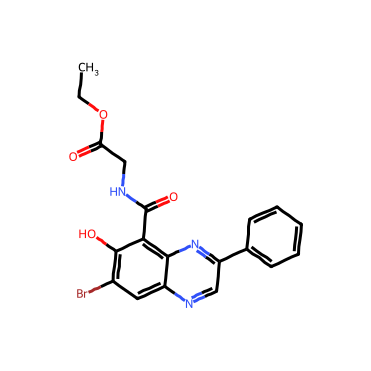 CCOC(=O)CNC(=O)c1c(O)c(Br)cc2ncc(-c3ccccc3)nc12